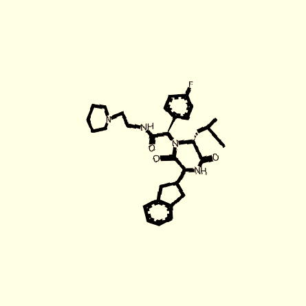 CC(C)C[C@@H]1C(=O)NC(C2Cc3ccccc3C2)C(=O)N1[C@@H](C(=O)NCCN1CCCCC1)c1ccc(F)cc1